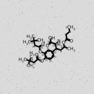 CCCC(=O)OC(C)CC(c1ccc(OC(=O)CC(C)(C)C)c(OC(=O)CC(C)(C)C)c1)[C@H](N)C(=O)O